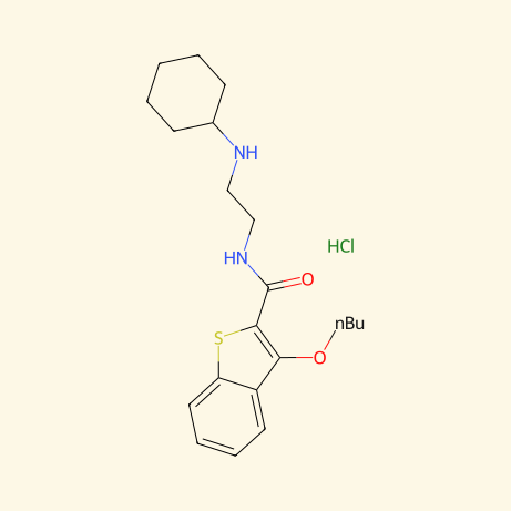 CCCCOc1c(C(=O)NCCNC2CCCCC2)sc2ccccc12.Cl